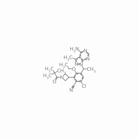 CCOc1c(C(C)n2nc(C)c3c(N)ncnc32)cc(Cl)c(C#N)c1C1CN(C(=O)C(C)(C)C)C1